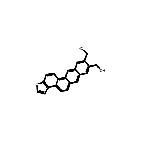 OCc1cc2cc3ccc4c5ccoc5ccc4c3cc2cc1CO